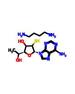 CC(O)[C@H]1O[C@@H](n2cnc3c(N)ncnc32)[C@H](S)[C@@H]1O.NCCCCN